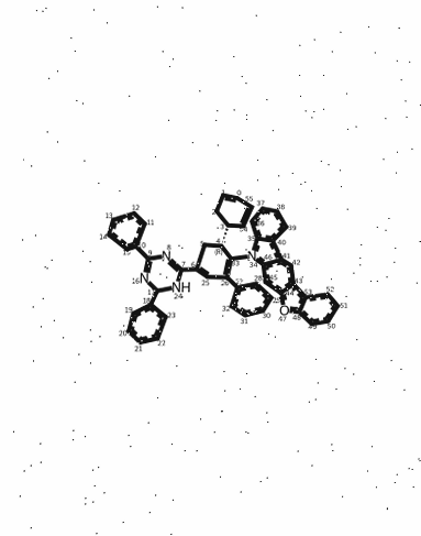 C1=CCC([C@H]2CC(C3=NC(c4ccccc4)=NC(c4ccccc4)N3)=CC(c3ccccc3)=C2n2c3ccccc3c3cc4c(cc32)oc2ccccc24)C=C1